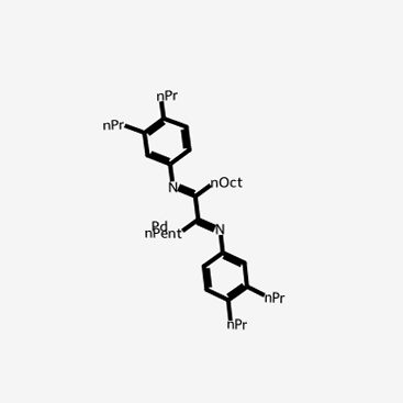 CCCCCCCCC(=N\c1ccc(CCC)c(CCC)c1)/C(CCCCC)=N/c1ccc(CCC)c(CCC)c1.[Pd]